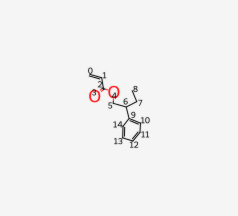 C=CC(=O)OCC(CC)c1ccccc1